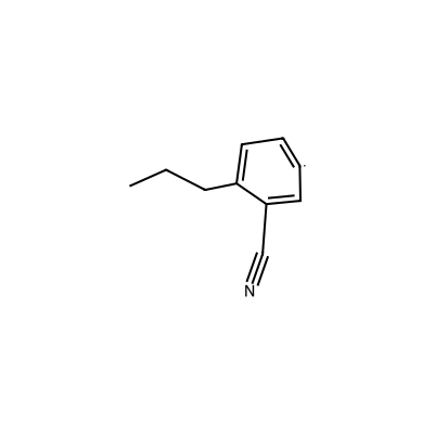 CCCc1cc[c]cc1C#N